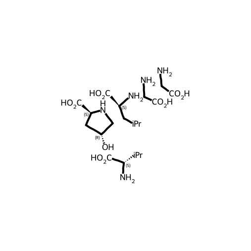 CC(C)C[C@H](N)C(=O)O.CC(C)[C@H](N)C(=O)O.NCC(=O)O.NCC(=O)O.O=C(O)[C@@H]1C[C@@H](O)CN1